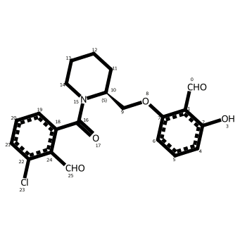 O=Cc1c(O)cccc1OC[C@@H]1CCCCN1C(=O)c1cccc(Cl)c1C=O